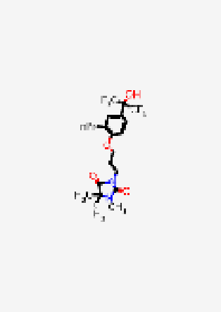 CCCc1cc(C(O)(C(F)(F)F)C(F)(F)F)ccc1OCCCN1C(=O)N(C)C(C)(C)C1=O